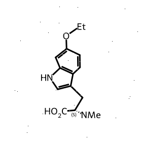 CCOc1ccc2c(C[C@H](NC)C(=O)O)c[nH]c2c1